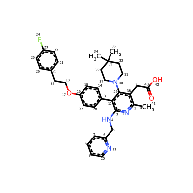 Cc1nc(NCc2ccccn2)c(-c2ccc(OCCc3ccc(F)cc3)cc2)c(N2CCC(C)(C)CC2)c1CC(=O)O